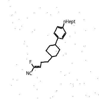 CCCCCCCc1ccc(C2CCC(CCC=C(F)C#N)CC2)cc1